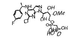 CO[C@H](COP(=O)(O)CP(=O)(O)O)[C@@H](O)[C@@H](O)n1ncc2c(N[C@H](C)c3ccc(F)cc3)nc(Cl)nc21